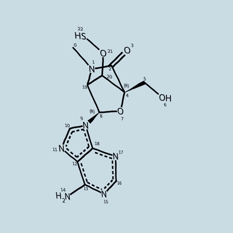 CN1C(=O)[C@]2(CO)O[C@@H](n3cnc4c(N)ncnc43)C1C2OS